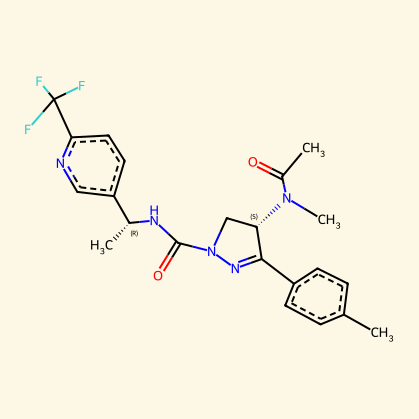 CC(=O)N(C)[C@H]1CN(C(=O)N[C@H](C)c2ccc(C(F)(F)F)nc2)N=C1c1ccc(C)cc1